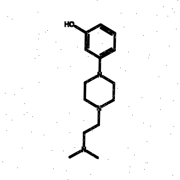 CN(C)CCN1CCN(c2cccc(O)c2)CC1